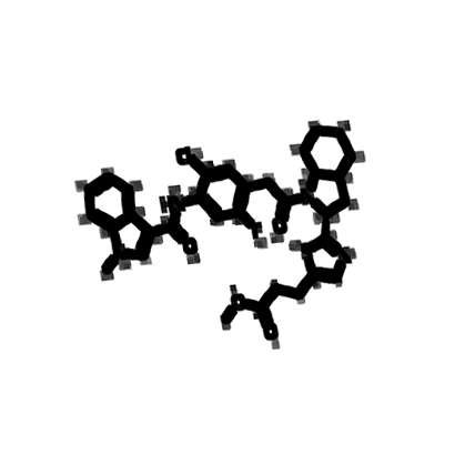 COC(=O)CCc1cnc([C@@H]2CC3CCCCC3N2C(=O)Cc2cc(Cl)c(NC(=O)c3cn(C)c4ccccc34)cc2F)s1